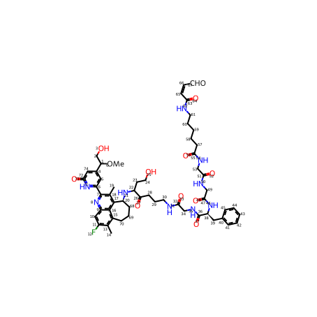 COC(CO)c1cc(-c2nc3cc(F)c(C)c4c3c(c2C)[C@@H](NC(CCO)C(=O)CCCNC(=O)CNC(=O)[C@H](Cc2ccccc2)NC(=O)CNC(=O)CNC(=O)CCCCCNC(=O)/C=C\C=O)CCC4)[nH]c(=O)c1